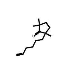 C=CCCCCC1(C)CCC(C)(C)C1=O